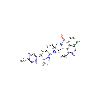 COc1cc([C@@H](C)C(=O)N2CC[C@@]3(CCc4cc(-c5cnc(C)cn5)c(C)nc4N3)C2)c(F)cn1